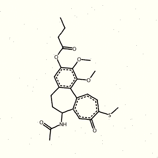 CCCC(=O)Oc1cc2c(c(OC)c1OC)-c1ccc(SC)c(=O)cc1C(NC(C)=O)CC2